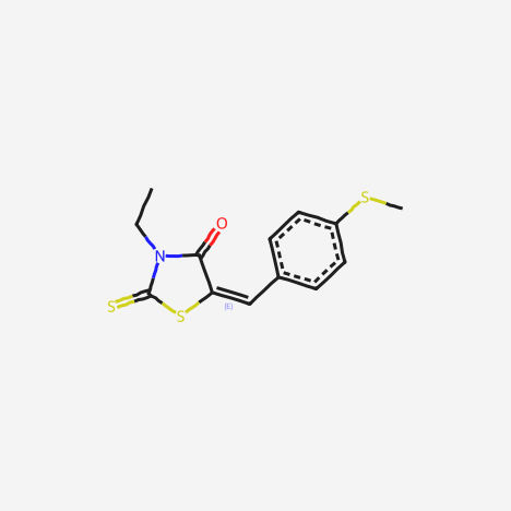 CCN1C(=O)/C(=C\c2ccc(SC)cc2)SC1=S